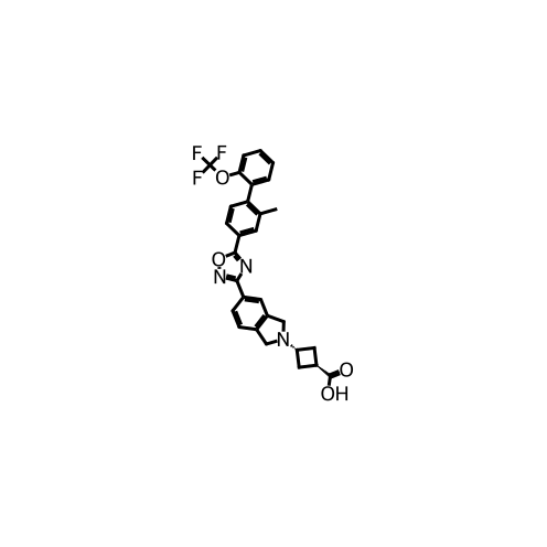 Cc1cc(-c2nc(-c3ccc4c(c3)CN([C@H]3C[C@H](C(=O)O)C3)C4)no2)ccc1-c1ccccc1OC(F)(F)F